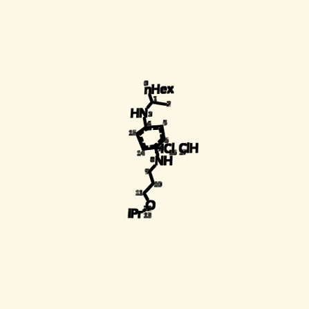 CCCCCCC(C)Nc1ccc(NCCCOC(C)C)cc1.Cl.Cl